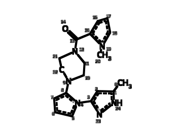 Cc1cc(-n2cccc2N2CCN(C(=O)c3cccn3C)CC2)n[nH]1